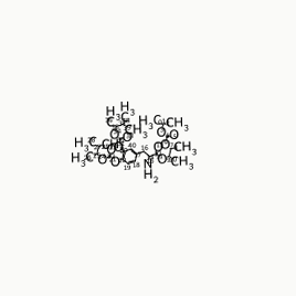 CC(C)OC(=O)OC(C)C(C)OC(=O)[C@@H](N)Cc1ccc(OC(=O)O[C@@H](C)C(C)C)c(OC(=O)OC(C)C(C)C)c1